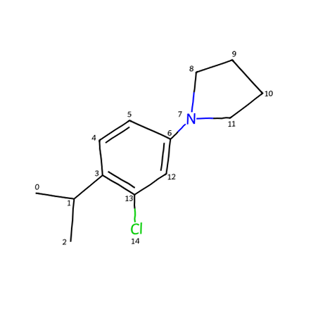 CC(C)c1ccc(N2CCCC2)cc1Cl